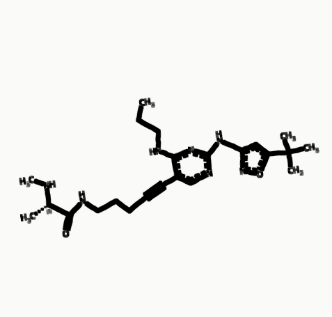 CCCNc1nc(Nc2cc(C(C)(C)C)on2)ncc1C#CCCCNC(=O)[C@H](C)NC